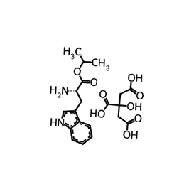 CC(C)OC(=O)[C@@H](N)Cc1c[nH]c2ccccc12.O=C(O)CC(O)(CC(=O)O)C(=O)O